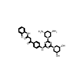 N[C@@H]1C[C@H](N)CN(c2nc(Nc3ccc(C(=O)CC(=O)Nc4ccccc4Cl)cc3)nc(N3C[C@H](O)C[C@@H](O)C3)n2)C1